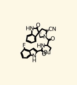 CC(C)(C)CC(NC(=O)c1cc2c(F)cccc2[nH]1)C(=O)N1C[C@]2(C[C@H]1C#N)C(=O)Nc1ccccc12